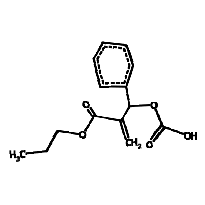 C=C(C(=O)OCCC)C(OC(=O)O)c1ccccc1